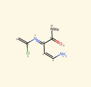 C=C(Cl)/N=C(\C=C/N)C(=O)NC